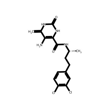 C=C1NC(=O)NC(C(=O)N[C@H](C)CCc2ccc(Cl)c(Cl)c2)=C1N